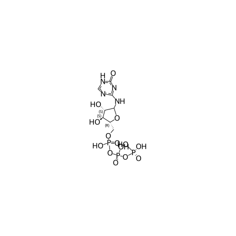 O=c1nc(NC2O[C@H](COP(=O)(O)OP(=O)(O)OP(=O)(O)O)[C@@H](O)[C@@H]2O)nc[nH]1